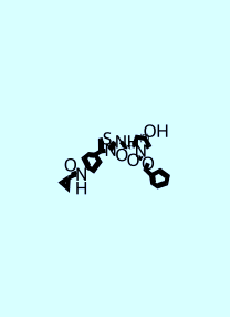 O=C(Nc1ccc(-c2csc(NC(=O)[C@@H]3C[C@@H](O)CN3C(=O)OCc3ccccc3)n2)cc1)C1CC1